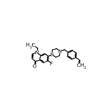 C=Cc1ccc(CN2CCN(c3cc4c(cc3F)c(=O)ccn4CC)CC2)cc1